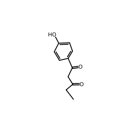 CCC(=O)CC(=O)c1ccc(O)cc1